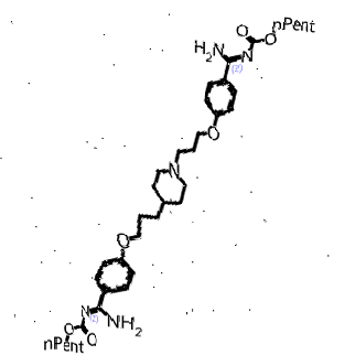 CCCCCOC(=O)/N=C(\N)c1ccc(OCCCC2CCN(CCCOc3ccc(/C(N)=N/C(=O)OCCCCC)cc3)CC2)cc1